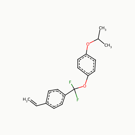 C=Cc1ccc(C(F)(F)Oc2ccc(OC(C)C)cc2)cc1